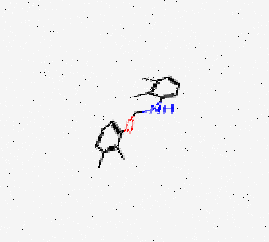 Cc1cccc(NCOc2cccc(C)c2C)c1C